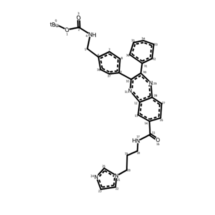 CC(C)(C)OC(=O)NCc1ccc(-c2nc3cc(C(=O)NCCCn4ccnc4)ccc3nc2-c2ccccc2)cc1